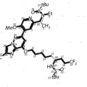 CCN([C@H](C)c1cc(-c2cc(OCCCCC[C@H](CCC(F)(F)F)N[S@@+]([O-])C(C)(C)C)c3nc(C)cn3n2)c(OC)cn1)[S@@+]([O-])C(C)(C)C